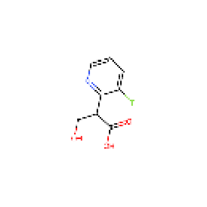 O=C(O)C(CO)c1ncccc1F